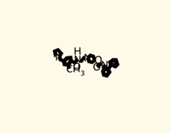 Cc1cc(CN2CCCC2)ccc1C(=O)NCCN1CCC(OC(=O)Nc2ccccc2-c2ccccc2)CC1